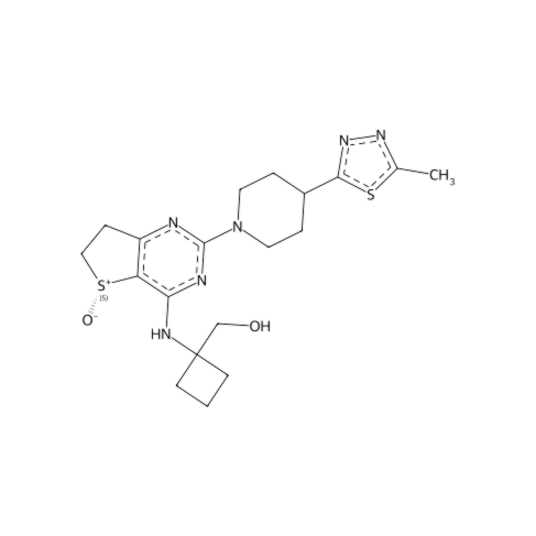 Cc1nnc(C2CCN(c3nc4c(c(NC5(CO)CCC5)n3)[S@+]([O-])CC4)CC2)s1